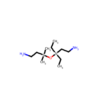 CC[Si](CC)(CCN)O[Si](C)(C)CCN